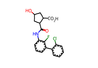 O=C(O)C1CC(O)CC1C(=O)Nc1cccc(-c2ccccc2Cl)c1F